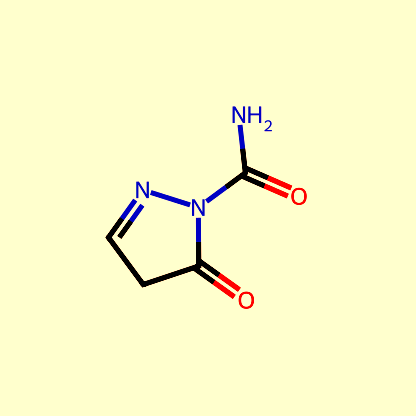 NC(=O)N1N=CCC1=O